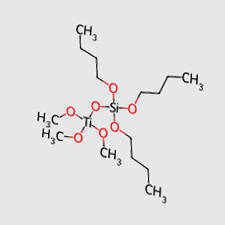 CCCCO[Si](OCCCC)(OCCCC)[O][Ti]([O]C)([O]C)[O]C